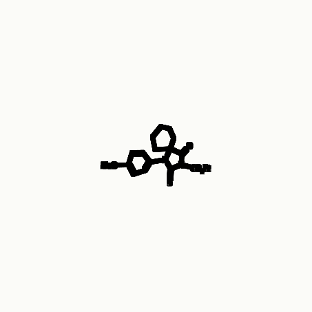 CCOC(=O)N1C(=O)C2(CCCCC2)N(c2ccc(OC)cc2)C1=S